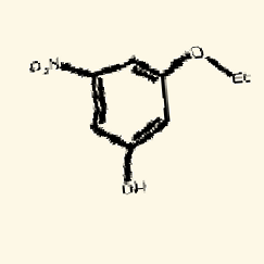 CCOc1cc(O)cc([N+](=O)[O-])c1